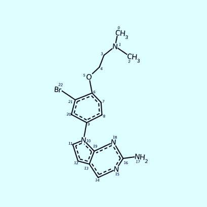 CN(C)CCOc1ccc(-n2ccc3cnc(N)nc32)cc1Br